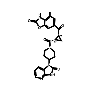 Cc1cc(C(=O)[C@H]2C[C@@H]2C(=O)N2CCC(n3c(=O)[nH]c4ncccc43)CC2)cc2oc(=O)[nH]c12